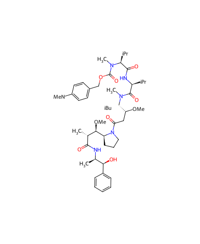 CC[C@H](C)[C@@H](C(CC(=O)N1CCC[C@H]1[C@H](OC)[C@@H](C)C(=O)N[C@H](C)[C@@H](O)c1ccccc1)OC)N(C)C(=O)[C@@H](NC(=O)[C@H](C(C)C)N(C)C(=O)OCc1ccc(NC)cc1)C(C)C